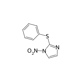 O=[N+]([O-])n1ccnc1Sc1ccccc1